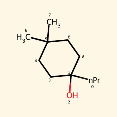 CCCC1(O)CCC(C)(C)CC1